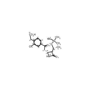 C[C@@H](O[Si](C)(C)C(C)(C)C)[C@H]1C(=O)N[C@@H]1CC(=O)c1ccc(CC(=O)O)c(Cl)c1